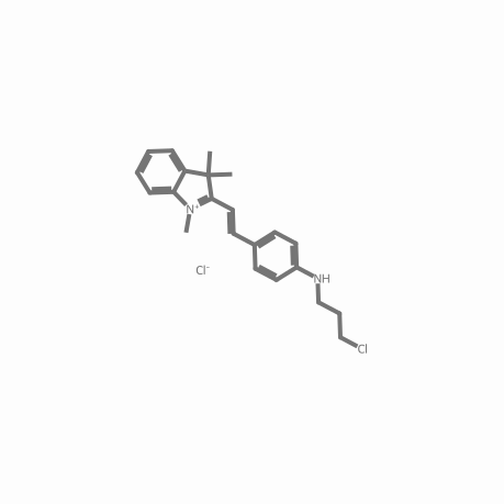 C[N+]1=C(C=Cc2ccc(NCCCCl)cc2)C(C)(C)c2ccccc21.[Cl-]